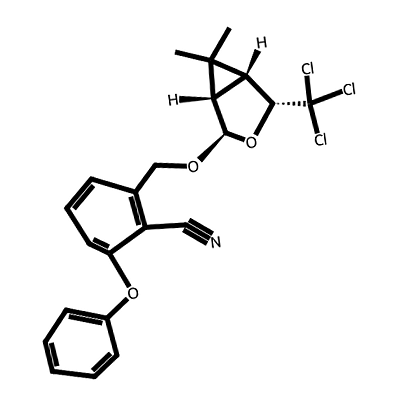 CC1(C)[C@H]2[C@H](OCc3cccc(Oc4ccccc4)c3C#N)O[C@@H](C(Cl)(Cl)Cl)[C@H]21